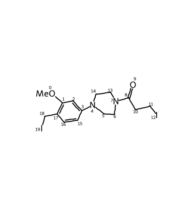 COc1cc(N2CCN(C(=O)CCI)CC2)ccc1CI